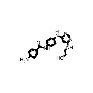 Nc1ccc(C(=O)Nc2ccc(Nc3cc(NCCO)ncn3)cc2)cc1